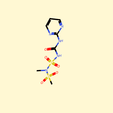 CN(S(C)(=O)=O)S(=O)(=O)NC(=O)Nc1ncccn1